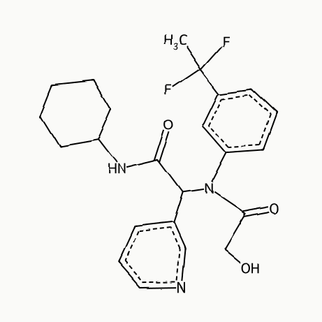 CC(F)(F)c1cccc(N(C(=O)CO)C(C(=O)NC2CCCCC2)c2cccnc2)c1